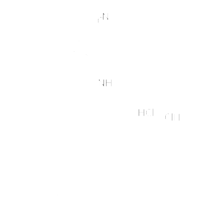 C1=C(CNC2CN3CCC2CC3)c2ccccc2CC1.Cl.Cl